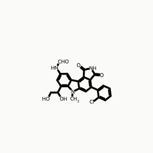 Cn1c2cc(-c3ccccc3Cl)c3c(c2c2cc(NC=O)cc(C(O)CO)c21)C(=O)NC3=O